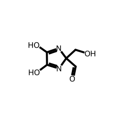 O=CC1(CO)N=C(O)C(O)=N1